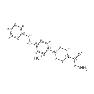 Cl.NCC(=O)N1CCN(c2ccc(OCc3ccccc3)cc2)CC1